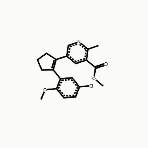 COC(=O)c1cc(C2=C(c3cc(Cl)ccc3OC)CCC2)cnc1C